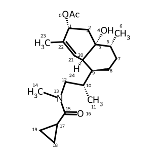 CC(=O)O[C@@H]1[C][C@@]2(O)[C@H](C)CC[C@@H]([C@H](C)CN(C)C(=O)C3CC3)[C@H]2C=C1C